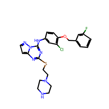 Fc1cccc(COc2ccc(Nc3nc(SCCN4CCNCC4)nc4ccnn34)cc2Cl)c1